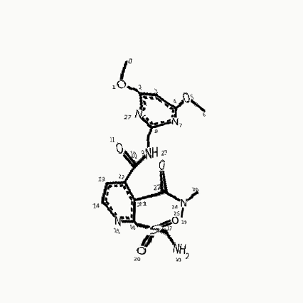 COc1cc(OC)nc(NC(=O)c2ccnc(S(N)(=O)=O)c2C(=O)N(C)C)n1